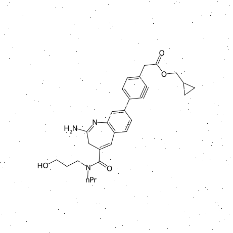 CCCN(CCCO)C(=O)C1=Cc2ccc(-c3c#cc(CC(=O)OCC4CC4)cc3)cc2N=C(N)C1